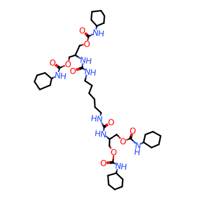 O=C(NCCCCCCNC(=O)NC(COC(=O)NC1CCCCC1)COC(=O)NC1CCCCC1)NC(COC(=O)NC1CCCCC1)COC(=O)NC1CCCCC1